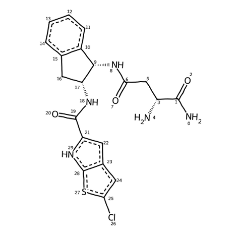 NC(=O)[C@H](N)CC(=O)N[C@H]1c2ccccc2C[C@H]1NC(=O)c1cc2cc(Cl)sc2[nH]1